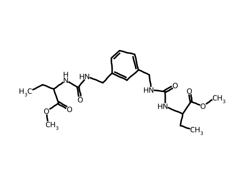 CCC(NC(=O)NCc1cccc(CNC(=O)NC(CC)C(=O)OC)c1)C(=O)OC